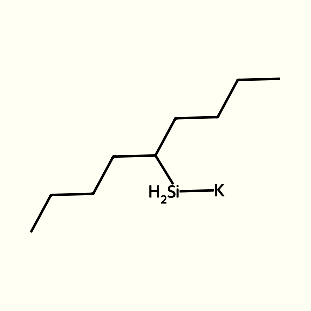 CCCCC(CCCC)[SiH2][K]